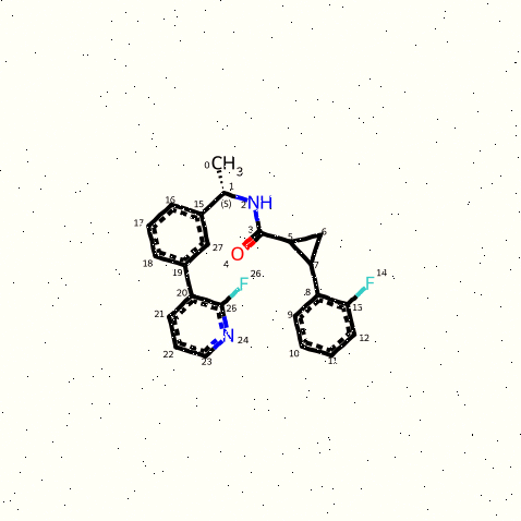 C[C@H](NC(=O)C1CC1c1ccccc1F)c1cccc(-c2cccnc2F)c1